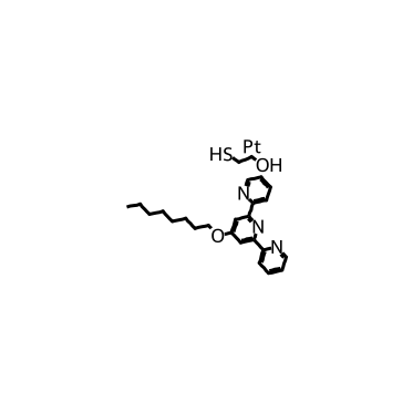 CCCCCCCCOc1cc(-c2ccccn2)nc(-c2ccccn2)c1.OCCS.[Pt]